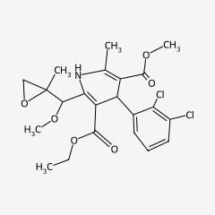 CCOC(=O)C1=C(C(OC)C2(C)CO2)NC(C)=C(C(=O)OC)C1c1cccc(Cl)c1Cl